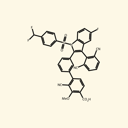 COc1c(C(=O)O)ccc(-c2cccc(-c3c(-c4c(C#N)cccc4C#N)c4cc(F)ccc4n3S(=O)(=O)c3ccc(C(F)F)cc3)c2)c1C#N